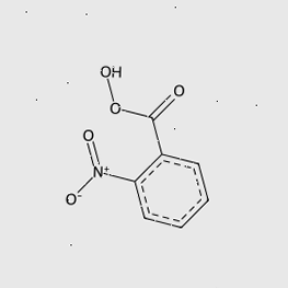 O=C(OO)c1ccccc1[N+](=O)[O-]